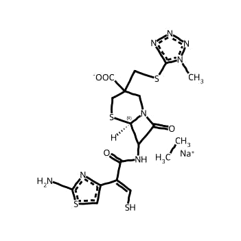 CC.Cn1nnnc1SCC1(C(=O)[O-])CS[C@@H]2C(NC(=O)C(=CS)c3csc(N)n3)C(=O)N2C1.[Na+]